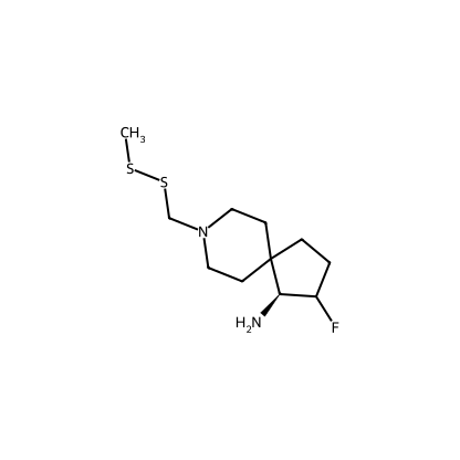 CSSCN1CCC2(CCC(F)[C@H]2N)CC1